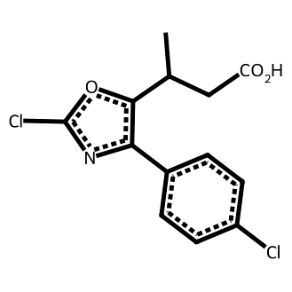 CC(CC(=O)O)c1oc(Cl)nc1-c1ccc(Cl)cc1